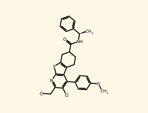 COc1ccc(-c2c(Cl)c(CCl)nc3sc4c(c23)CCC(C(=O)N[C@H](C)c2ccccc2)C4)cc1